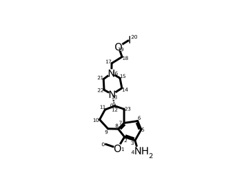 COc1c(N)ccc2c1CCC[C@H](N1CCN(CCOI)CC1)C2